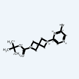 CC(C)(C)OC(=O)N1CC2(C1)CN(c1cncc(Br)n1)C2